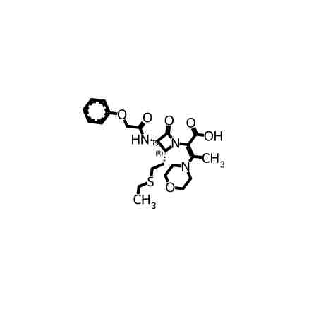 CCSCC[C@@H]1[C@H](NC(=O)COc2ccccc2)C(=O)N1C(C(=O)O)=C(C)N1CCOCC1